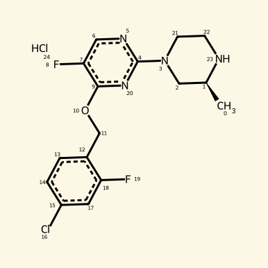 C[C@H]1CN(c2ncc(F)c(OCc3ccc(Cl)cc3F)n2)CCN1.Cl